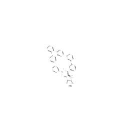 C[Si]1(C)c2ccccc2-c2nc(-c3ccccc3)nc(-c3cccc(-c4cccc(-c5ccc6c7ccccc7c7ccccc7c6c5)c4)c3)c21